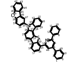 c1ccc(-c2cc(-c3ccccc3)nc(-c3cccc4c3sc3c4ccc4c3c3ccccc3n4-c3ccc4oc5ccccc5c4c3)c2)cc1